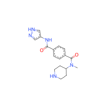 CN(C(=O)c1ccc(C(=O)Nc2cn[nH]c2)cc1)C1CCNCC1